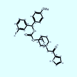 CSc1ccc(C(OC(=O)OC2C[N+]3(CC(=O)c4cccs4)CCC2CC3)c2cccc(F)c2)cc1